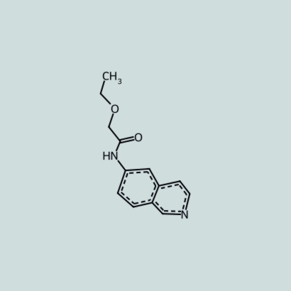 CCOCC(=O)Nc1ccc2cnccc2c1